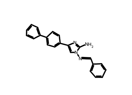 Nc1nc(-c2ccc(-c3ccccc3)cc2)cn1/N=C/c1ccccc1